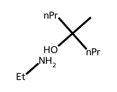 CCCC(C)(O)CCC.CCN